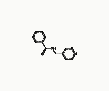 O=C(NCc1ccnnc1)c1ccccc1